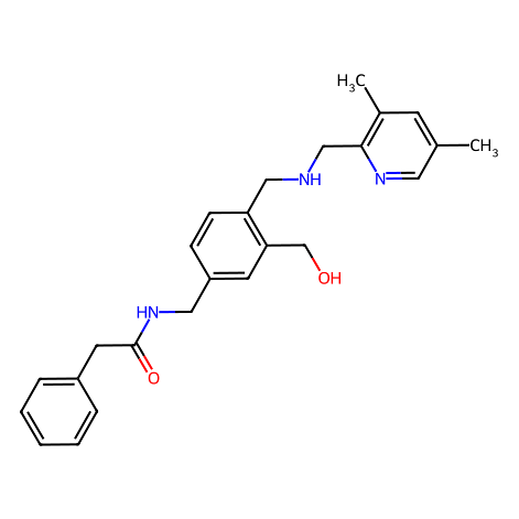 Cc1cnc(CNCc2ccc(CNC(=O)Cc3ccccc3)cc2CO)c(C)c1